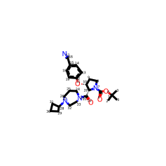 CC(C)(C)OC(=O)N1CC[C@@H](Oc2ccc(C#N)cc2)[C@H]1C(=O)N1CCCN(C2CCC2)CC1